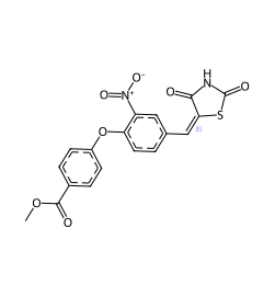 COC(=O)c1ccc(Oc2ccc(/C=C3/SC(=O)NC3=O)cc2[N+](=O)[O-])cc1